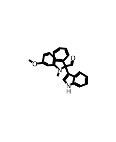 COc1cccc(N(C)C(C=O)(c2ccccc2)c2c[nH]c3ccccc23)c1